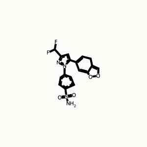 NS(=O)(=O)c1ccc(-n2nc(C(F)F)cc2C2=CCC3=COOC3=C2)cc1